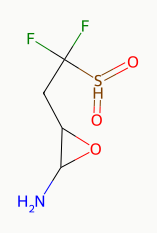 NC1OC1CC(F)(F)[SH](=O)=O